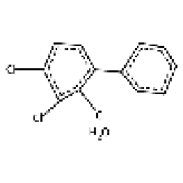 Clc1ccc(-c2ccccc2)c(Cl)c1Cl.O